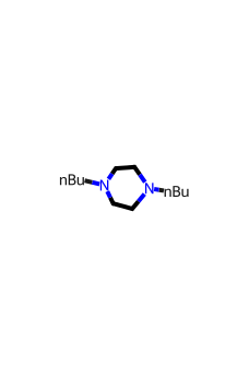 [CH2]CCCN1CCN(CCCC)CC1